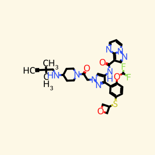 C#CC(C)(C)CNC1CCN(C(=O)Cn2cc(NC(=O)c3cnn4cccnc34)c(-c3cc(SC4COC4)ccc3OC(F)F)n2)CC1